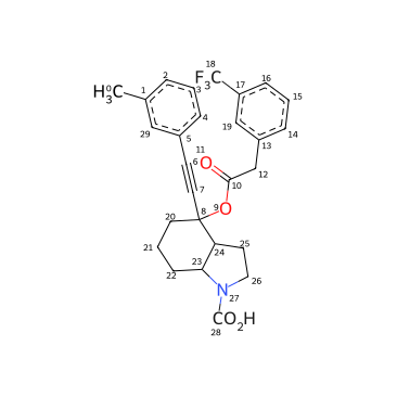 Cc1cccc(C#CC2(OC(=O)Cc3cccc(C(F)(F)F)c3)CCCC3C2CCN3C(=O)O)c1